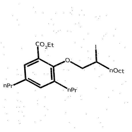 CCCCCCCCC(I)COc1c(CCC)cc(CCC)cc1C(=O)OCC